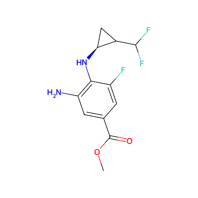 COC(=O)c1cc(N)c(N[C@H]2CC2C(F)F)c(F)c1